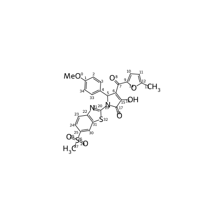 COc1ccc(C2C(C(=O)c3ccc(C)o3)=C(O)C(=O)N2c2nc3ccc(S(C)(=O)=O)cc3s2)cc1